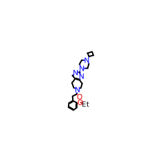 CCOc1ccccc1CC(=O)N1CCc2cnc(N3CCN(C4CCC4)CC3)nc2CC1